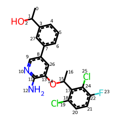 CC(O)c1cccc(-c2cnc(N)c(OC(C)c3c(Cl)ccc(F)c3Cl)c2)c1